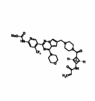 C=CC(=O)NC1[C@H]2C[C@@H]1C2C(=O)N1CCN(Cc2cc3c(N4CCOCC4)nc(-c4cnc(NC(=O)OC)cc4C(F)(F)F)nn3c2)CC1